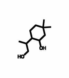 CC(CO)C1CCC(C)(C)CC1O